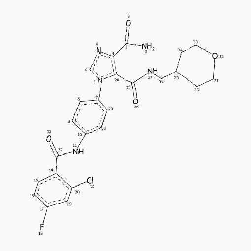 NC(=O)c1ncn(-c2ccc(NC(=O)c3ccc(F)cc3Cl)cc2)c1C(=O)NCC1CCOCC1